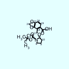 CC(C)(C)OC(=O)N1CCC[C@@H]1OCc1c(C(=O)O)ccc2c1OCO2